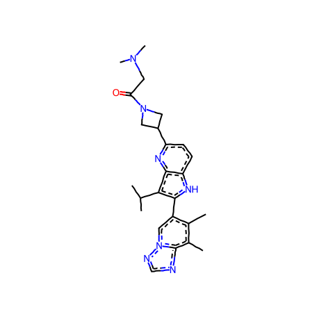 Cc1c(-c2[nH]c3ccc(C4CN(C(=O)CN(C)C)C4)nc3c2C(C)C)cn2ncnc2c1C